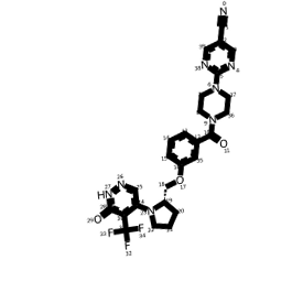 N#Cc1cnc(N2CCN(C(=O)c3cccc(OC[C@@H]4CCCN4c4cn[nH]c(=O)c4C(F)(F)F)c3)CC2)nc1